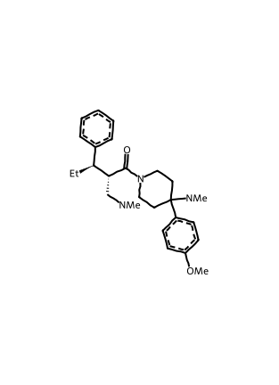 CC[C@@H](c1ccccc1)[C@@H](CNC)C(=O)N1CCC(NC)(c2ccc(OC)cc2)CC1